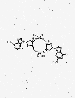 Nc1nc2c(ncn2[C@H]2C[C@@H]3OP(=O)(O)C/C=C4/O[C@@H](n5cnc6c(N)ncnc65)C[C@@H]4OP(=O)(O)OC[C@H]3O2)c(=O)[nH]1